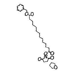 C1CCOC1.O=C(CCCCCCCCCCCCC(=O)ON1C(=O)CCC1=O)OCc1ccccc1